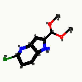 CCOC(OCC)c1cc2nc(Br)ccc2[nH]1